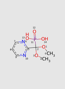 COC(OC)(c1ncccn1)P(=O)(O)O